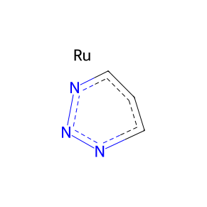 [Ru].c1cnnnc1